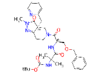 CN1N=C2CCN(C(=O)[C@@H](COCc3ccccc3)NC(=O)C(C)(C)NC(=O)OC(C)(C)C)C[C@]2(Cc2ccccn2)C1=O